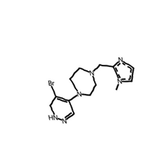 Cn1ccnc1CN1CCN(C2=C(Br)CNN=C2)CC1